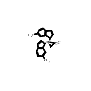 Cc1ccc2c(c1)[CH]([Hf+2]1([CH]3C=Cc4ccc(C)cc43)[CH2][CH2]1)C=C2.[Cl-].[Cl-]